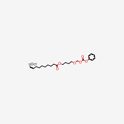 CCCCCCCC/C=C\CCCCCCCC(=O)OCCCCOCOC(=O)Oc1ccccc1